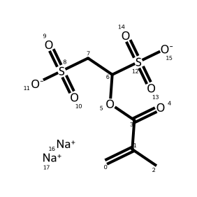 C=C(C)C(=O)OC(CS(=O)(=O)[O-])S(=O)(=O)[O-].[Na+].[Na+]